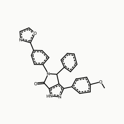 COc1ccc(-c2n[nH]c3c2C(c2ccccc2)N(c2ccc(-c4ncco4)cc2)C3=O)cc1